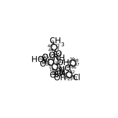 Cc1ccc(S(=O)(=O)Nc2cc(S(=O)(=O)O)cc3cc(S(=O)(=O)O)c(N=Nc4ccc(Cl)cc4Oc4ccccc4)c(O)c23)cc1